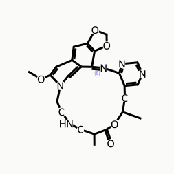 COC1=Cc2cc3c(/c4c2=CN1CCNCC(C)C(=O)OC(C)Cc1cncnc1\N=4)OCO3